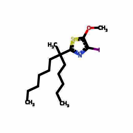 CCCCCCC(C)(CCCCC)c1nc(I)c(OC)s1